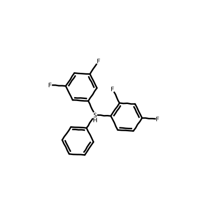 Fc1cc(F)cc([SH](c2ccccc2)c2ccc(F)cc2F)c1